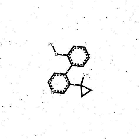 CC(C)Oc1ccccc1-c1ccncc1C1(N)CC1